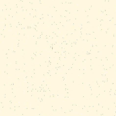 CCc1ccc(CC2(C)NC(c3ccc(O)cc3)c3cc(Cl)ccc3N(Cc3cccc(O)c3)C2=O)cc1CC